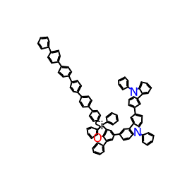 c1ccc(-c2ccc(-c3ccc(-c4ccc(-c5ccc(-c6ccc([Si](c7ccccc7)(c7ccccc7)c7cc(-c8ccc9c(c8)c8cc(-c%10ccc%11c(c%10)c%10ccccc%10n%11-c%10ccccc%10)ccc8n9-c8ccccc8)cc8c7oc7ccccc78)cc6)cc5)cc4)cc3)cc2)cc1